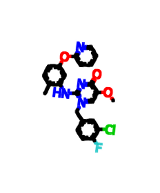 COc1cn(Cc2ccc(F)c(Cl)c2)c(Nc2cc(Oc3ccccn3)ccc2C)nc1=O